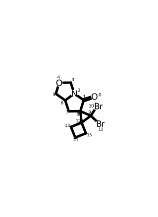 O=C1N2COCC2CC12C(Br)(Br)C21CCC1